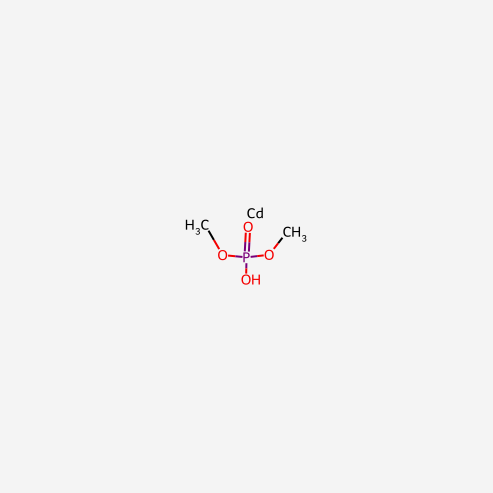 COP(=O)(O)OC.[Cd]